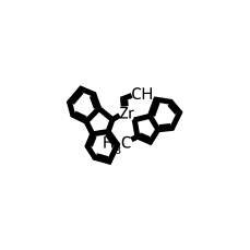 C[CH]=[Zr]([CH]1C(C)=Cc2ccccc21)[CH]1c2ccccc2-c2ccccc21